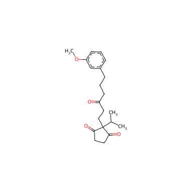 COc1cccc(CCCC(=O)CCC2(C(C)C)C(=O)CCC2=O)c1